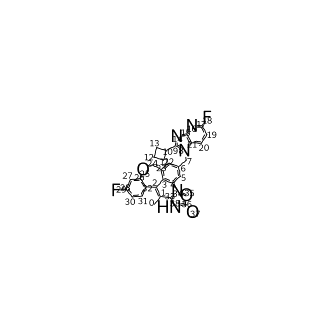 C/C(=C1/c2ccc(Cn3c(C4CCC4)nc4nc(F)ccc43)cc2COc2cc(F)ccc21)c1noc(=O)[nH]1